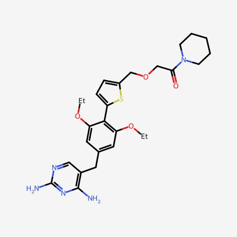 CCOc1cc(Cc2cnc(N)nc2N)cc(OCC)c1-c1ccc(COCC(=O)N2CCCCC2)s1